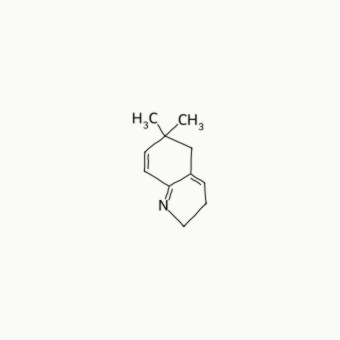 CC1(C)C=CC2=NCCC=C2C1